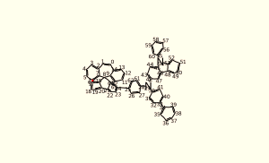 C1=Cc2ccccc2C2(c3ccccc31)c1ccccc1-c1ccc(-c3ccc(N(c4ccc(-c5ccccc5)cc4)c4ccc5c(c4)c4ccccc4n5-c4ccccc4)cc3)cc12